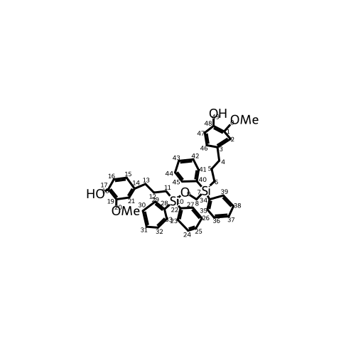 COc1cc(CCC[Si](CO[Si](CCCc2ccc(O)c(OC)c2)(c2ccccc2)c2ccccc2)(c2ccccc2)c2ccccc2)ccc1O